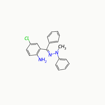 CN(/N=C(\c1ccccc1)c1cc(Cl)ccc1N)c1ccccc1